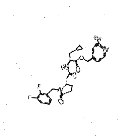 O=C(C[C@@H]1CCC(=O)N1Cc1cccc(F)c1F)N[C@@H](CC1CC1)C(=O)OCc1ccnc(Br)c1